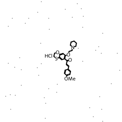 COc1ccc(C=CC(=O)c2cc3c(cc2OCCN2CCCCC2)OCCS3)cc1.Cl